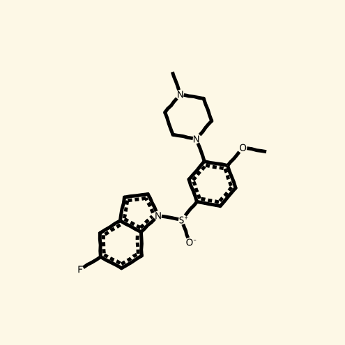 COc1ccc([S+]([O-])n2ccc3cc(F)ccc32)cc1N1CCN(C)CC1